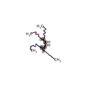 CC/C=C\C/C=C\C/C=C\C/C=C\C/C=C\CCCCCC(=O)O[C@H](COC(=O)CCCCCCCCCCCCCCCCC)COP(=O)(O)OC[C@H](O)COP(=O)(O)OC[C@@H](COC(=O)CCC/C=C\C/C=C\C/C=C\C/C=C\CCCCC)OC(=O)CC/C=C\C/C=C\C/C=C\C/C=C\C/C=C\CCCCC